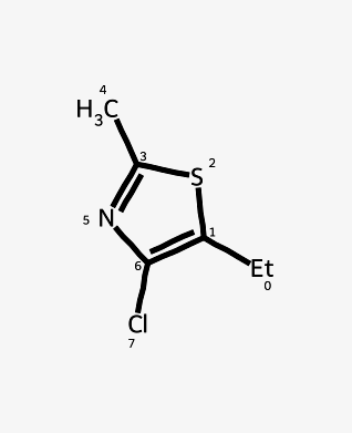 CCc1sc(C)nc1Cl